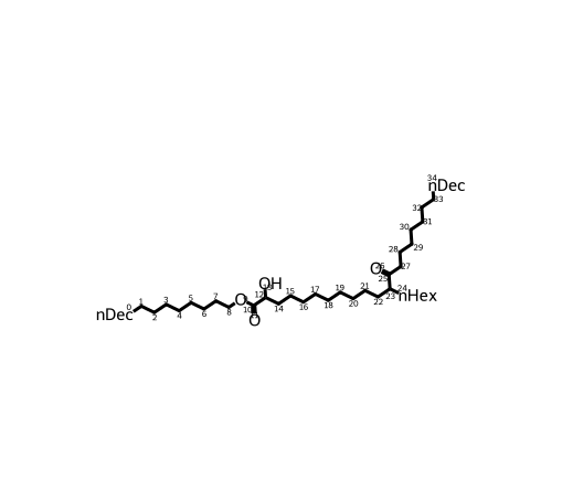 CCCCCCCCCCCCCCCCCCOC(=O)C(O)CCCCCCCCCC(CCCCCC)C(=O)CCCCCCCCCCCCCCCCC